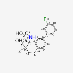 O=C[C@@]1(NC(=O)O)c2cc(-c3cccc(F)c3)ccc2CCC12CC2